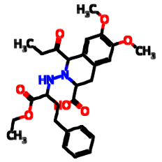 CCOC(=O)C(CCc1ccccc1)NN1C(C(=O)O)Cc2cc(OC)c(OC)cc2C1C(=O)CC